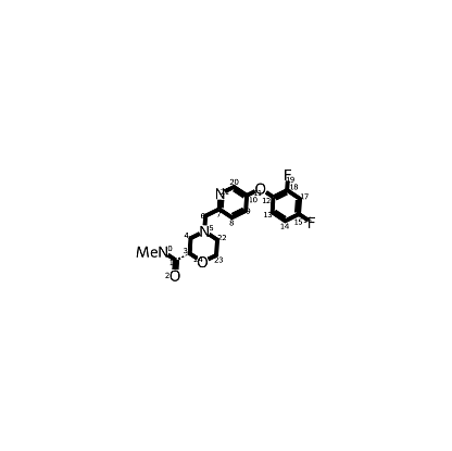 CNC(=O)[C@@H]1CN(Cc2ccc(Oc3ccc(F)cc3F)cn2)CCO1